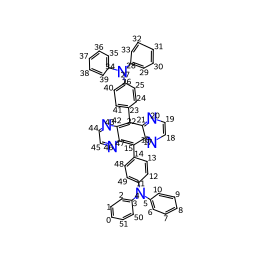 c1ccc(N(c2ccccc2)c2ccc(-c3c4nccnc4c(-c4ccc(N(c5ccccc5)c5ccccc5)cc4)c4nccnc34)cc2)cc1